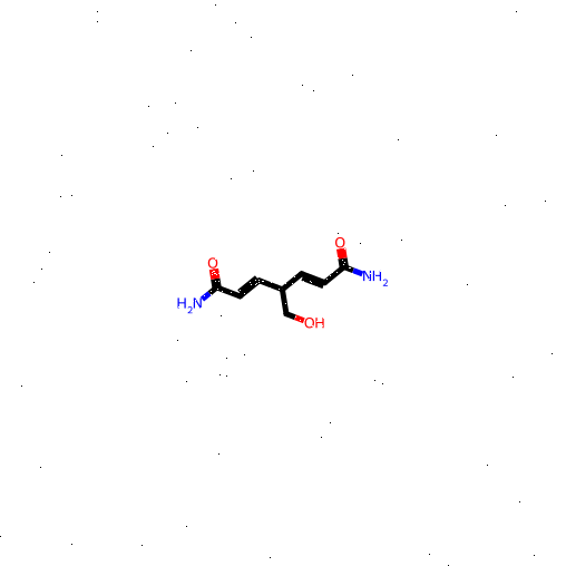 NC(=O)C=CC(C=CC(N)=O)CO